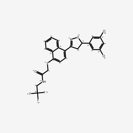 O=C(CSc1ccc(C2=NOC(c3cc(Cl)cc(Cl)c3)C2)c2ccccc12)NCC(F)(F)F